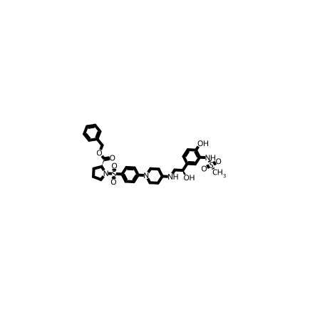 CS(=O)(=O)Nc1cc([C@@H](O)CNC2CCN(c3ccc(S(=O)(=O)N4CCC[C@@H]4C(=O)OCc4ccccc4)cc3)CC2)ccc1O